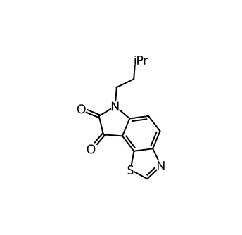 CC(C)CCN1C(=O)C(=O)c2c1ccc1ncsc21